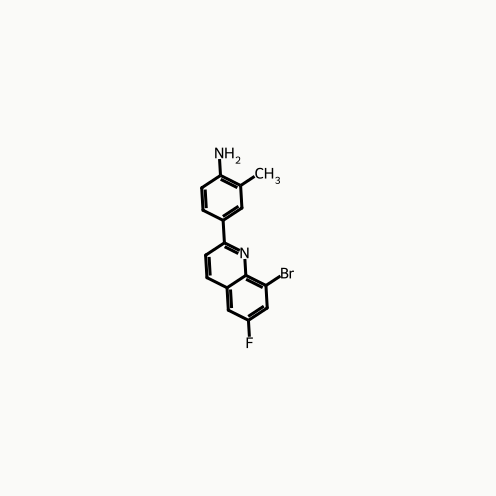 Cc1cc(-c2ccc3cc(F)cc(Br)c3n2)ccc1N